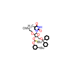 COCCOC1C(OC(=S)Oc2cccc(C(C)(C)C)c2)[C@H](CO[Si](c2ccccc2)(c2ccccc2)C(C)(C)C)O[C@@H]1n1cc(C)c(=O)[nH]c1=O